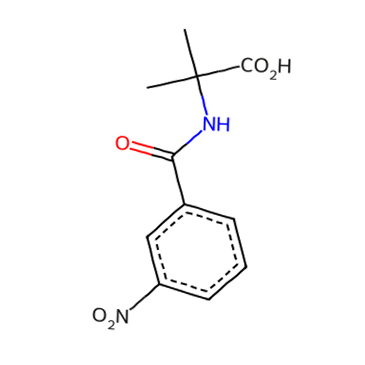 CC(C)(NC(=O)c1cccc([N+](=O)[O-])c1)C(=O)O